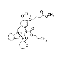 C=CCOC(=O)N1c2cc(OCCCC(=O)OC)c(OC)cc2CN2c3ccccc3C[C@H]2C1OC1CCCCO1